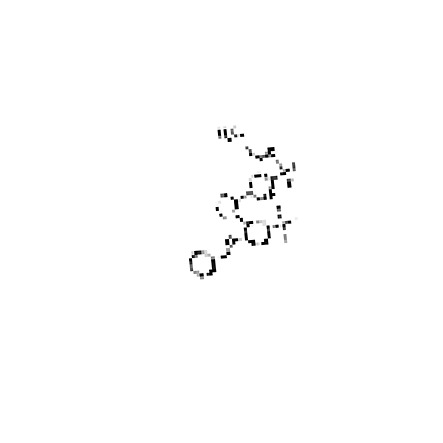 CCOC(=O)c1cc(C2=C(c3cc(C(F)(F)F)ccc3OCc3ccccc3)CCC2)cnc1C(F)(F)F